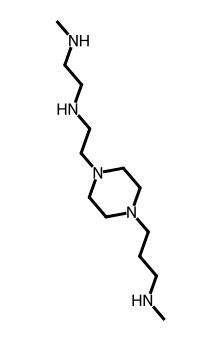 CNCCCN1CCN(CCNCCNC)CC1